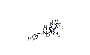 C=N/C=C1\C(=N/CC)C=C(C(=O)NCCN2CCNCC2)N1C